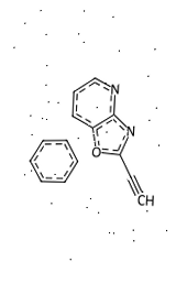 C#Cc1nc2ncccc2o1.c1ccccc1